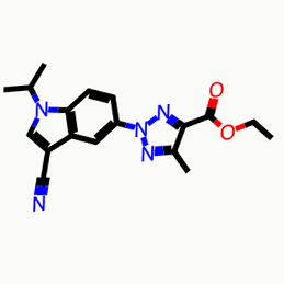 CCOC(=O)c1nn(-c2ccc3c(c2)c(C#N)cn3C(C)C)nc1C